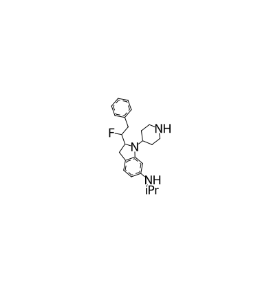 CC(C)Nc1ccc2c(c1)N(C1CCNCC1)C(C(F)Cc1ccccc1)C2